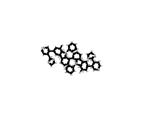 Cc1cc(-c2cnccc2-c2nccs2)cc2c3cccc(-c4cccc5c6cc(-c7cnccc7-c7nccs7)cc(C)c6n(-c6ccccc6)c45)c3n(-c3ccccc3)c12